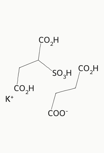 O=C(O)CC(C(=O)O)S(=O)(=O)O.O=C([O-])CCC(=O)O.[K+]